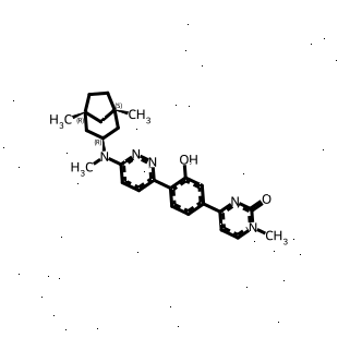 CN(c1ccc(-c2ccc(-c3ccn(C)c(=O)n3)cc2O)nn1)[C@H]1C[C@]2(C)CC[C@](C)(C1)C2